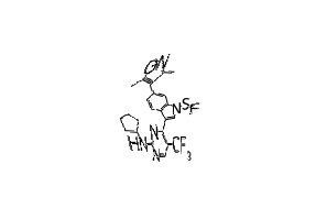 Cc1noc(C)c1-c1ccc2c(-c3nc(NC4CCCC4)ncc3C(F)(F)F)cn(SF)c2c1